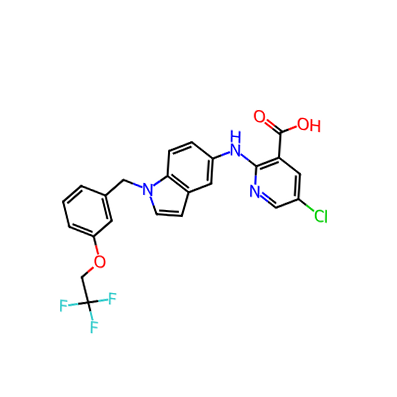 O=C(O)c1cc(Cl)cnc1Nc1ccc2c(ccn2Cc2cccc(OCC(F)(F)F)c2)c1